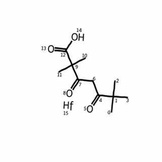 CC(C)(C)C(=O)CC(=O)C(C)(C)C(=O)O.[Hf]